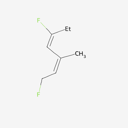 CC/C(F)=C\C(C)=C/CF